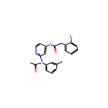 CC(=O)N(c1cccc(F)c1)c1cc(NC(=O)Cc2ccccc2Cl)ccn1